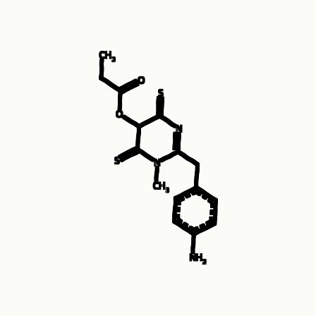 CCC(=O)OC1C(=S)N=C(Cc2ccc(N)cc2)N(C)C1=S